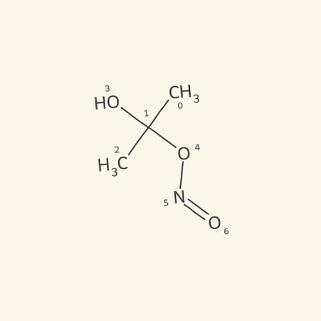 CC(C)(O)ON=O